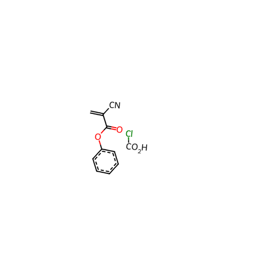 C=C(C#N)C(=O)Oc1ccccc1.O=C(O)Cl